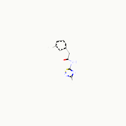 CC(=O)c1cccc(CC(=O)Nc2nc(C)ns2)c1